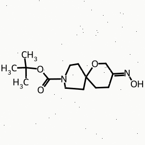 CC(C)(C)OC(=O)N1CCC2(CCC(=NO)CO2)CC1